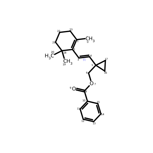 CC1=C(/C=C/C2(COC(=O)c3ccccc3)CC2)C(C)(C)CCC1